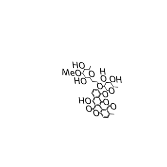 COC1C(O)C(C)OC(CCOC2C(Oc3cccc4c(O)c5c(=O)oc6ccc(C)c7c(=O)oc(c34)c5c67)OC(C)C(O)C2O)C1O